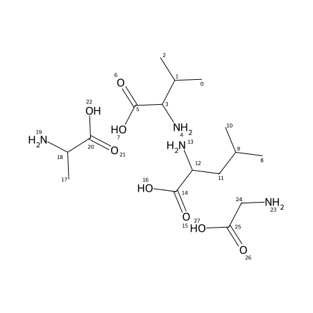 CC(C)C(N)C(=O)O.CC(C)CC(N)C(=O)O.CC(N)C(=O)O.NCC(=O)O